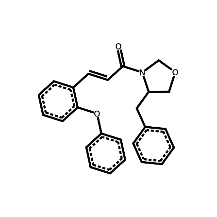 O=C(C=Cc1ccccc1Oc1ccccc1)N1COCC1Cc1ccccc1